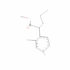 CCCC(C(=O)OC)c1ccc(Cl)cc1Cl